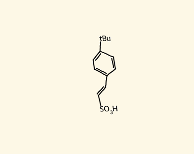 CC(C)(C)c1ccc(C=CS(=O)(=O)O)cc1